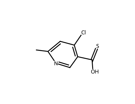 Cc1cc(Cl)c(C(O)=S)cn1